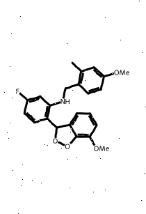 COc1ccc(CNc2cc(F)ccc2C2OOc3c(OC)cccc32)c(C)c1